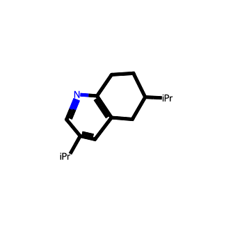 CC(C)c1cnc2c(c1)CC(C(C)C)CC2